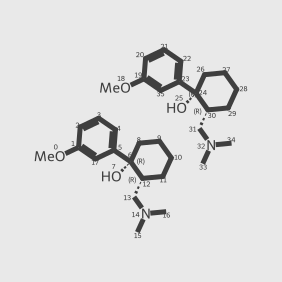 COc1cccc([C@@]2(O)CCCC[C@@H]2CN(C)C)c1.COc1cccc([C@@]2(O)CCCC[C@@H]2CN(C)C)c1